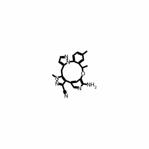 Cc1ccc2c(c1)C(C)Oc1cc(cnc1N)-c1c(C#N)nn(C)c1Cc1ccnn1-2